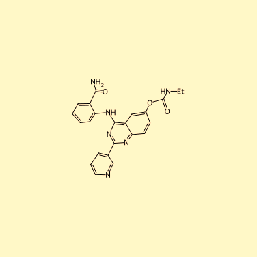 CCNC(=O)Oc1ccc2nc(-c3cccnc3)nc(Nc3ccccc3C(N)=O)c2c1